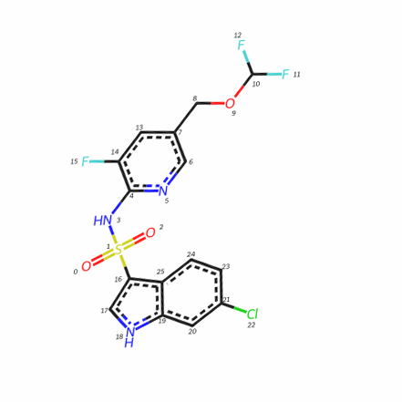 O=S(=O)(Nc1ncc(COC(F)F)cc1F)c1c[nH]c2cc(Cl)ccc12